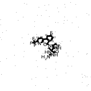 NC1NC(=O)C(CNC(=O)c2ccc(F)cc2-c2ccc(C(F)(F)F)nc2)(c2ccn[nH]2)N1